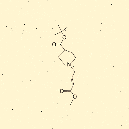 COC(=O)C=CCN1CCC(C(=O)OC(C)(C)C)CC1